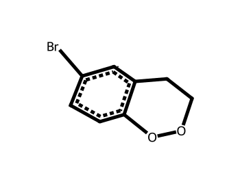 Brc1[c]c2c(cc1)OOCC2